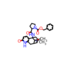 C/C=C1\C2C=C(C)CC1(NC(=O)C1CCCN1C(=O)OCc1ccccc1)c1ccc(=O)[nH]c1C2